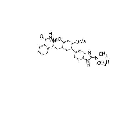 COc1cc(OC)c(-c2ccc3[nH]c(N(C)C(=O)O)nc3c2)cc1Cc1n[nH]c(=O)c2ccccc12